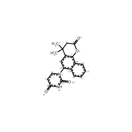 CC1(C)CC(=O)Oc2c1cc(-n1ccc(=O)[nH]c1=O)c1ccccc21